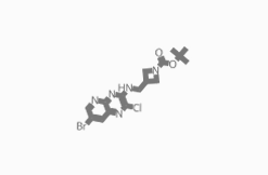 CC(C)(C)OC(=O)N1CC(CNc2nc3ncc(Br)cc3nc2Cl)C1